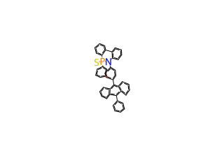 S=P1(c2ccccc2)c2ccccc2-c2ccccc2N1c1ccc(-c2c3ccccc3c(-c3ccccc3)c3ccccc23)cc1